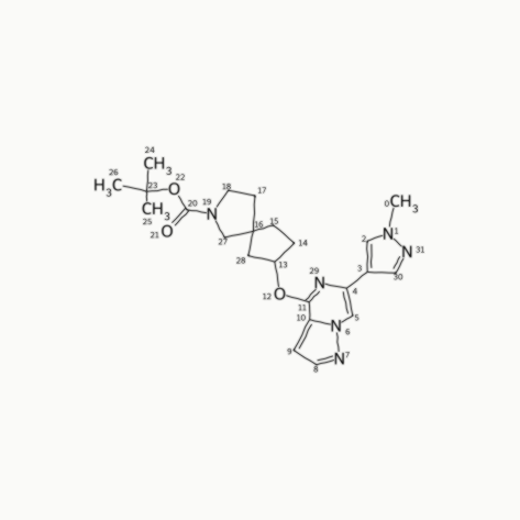 Cn1cc(-c2cn3nccc3c(OC3CCC4(CCN(C(=O)OC(C)(C)C)C4)C3)n2)cn1